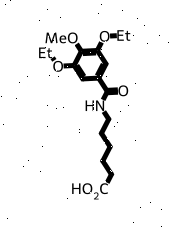 CCOc1cc(C(=O)NCCCCCC(=O)O)cc(OCC)c1OC